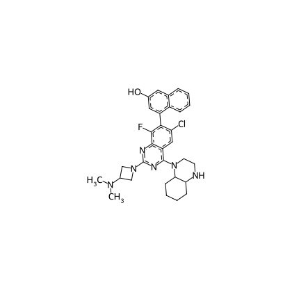 CN(C)C1CN(c2nc(N3CCNC4CCCCC43)c3cc(Cl)c(-c4cc(O)cc5ccccc45)c(F)c3n2)C1